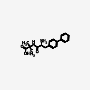 CC(C)(NC(=O)[C@@H](N)Cc1ccc(-c2ccccc2)cc1)C(=O)O